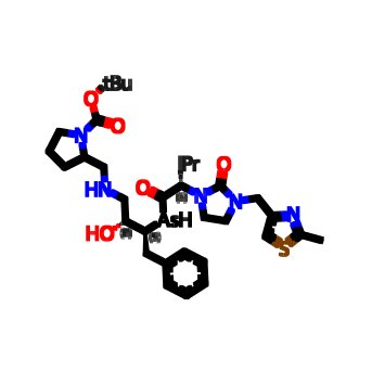 Cc1nc(CN2CCN([C@H](C(=O)[AsH][C@@H](Cc3ccccc3)[C@H](O)CNCC3CCCN3C(=O)OC(C)(C)C)C(C)C)C2=O)cs1